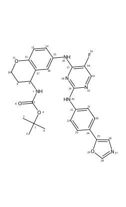 CC(C)(C)OC(=O)NC1CCOc2ccc(Nc3nc(Nc4ccc(-c5cnco5)cc4)ncc3F)cc21